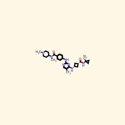 CN1CCC(N(C)C(=O)c2ccc(Nc3ncc(C(F)(F)F)c(N[C@H]4C[C@@H](C(=O)NC5(C)CC5)C4)n3)cc2)CC1